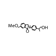 COCc1ccc2c(c1)C(=O)N(c1ccc(C(C)CO)cc1)C2